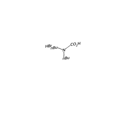 Br.CCCCN(CCCC)C(=O)O